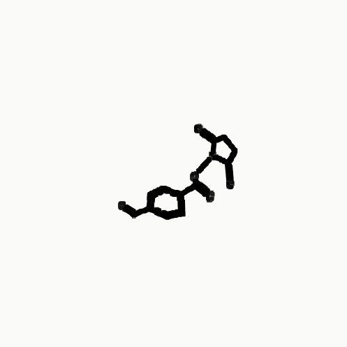 O=[C]c1ccc(C(=O)ON2C(=O)CCC2=O)cc1